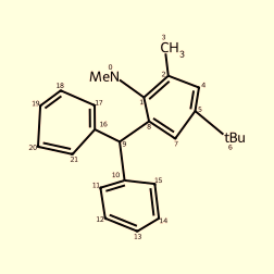 CNc1c(C)cc(C(C)(C)C)cc1C(c1ccccc1)c1ccccc1